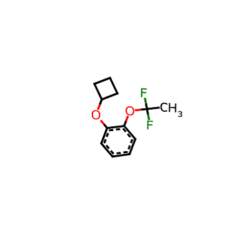 CC(F)(F)Oc1ccccc1OC1CCC1